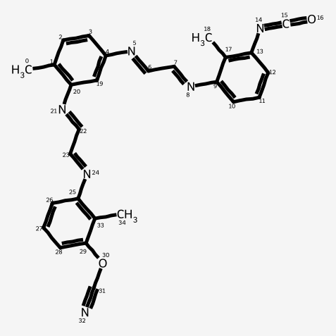 Cc1ccc(N=CC=Nc2cccc(N=C=O)c2C)cc1N=CC=Nc1cccc(OC#N)c1C